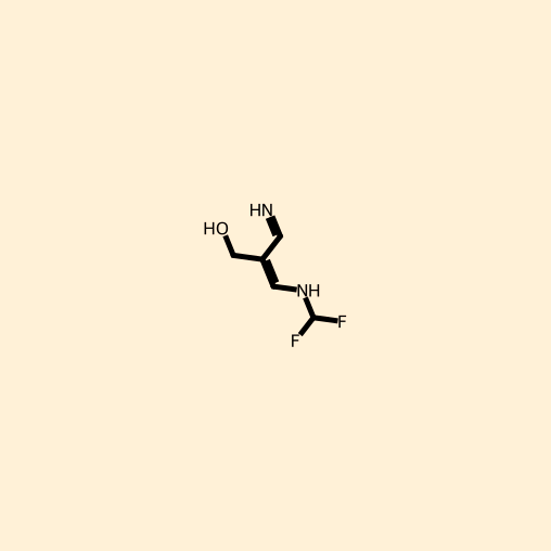 N=C/C(=C\NC(F)F)CO